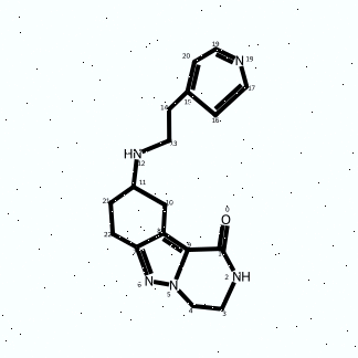 O=C1NCCn2nc3c(c21)CC(NCCc1ccncc1)CC3